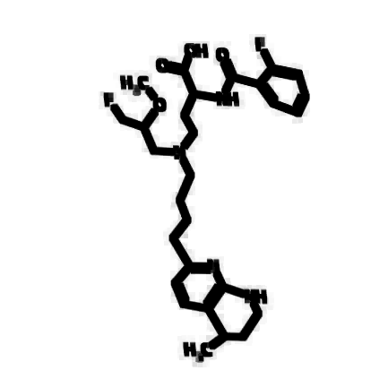 COC(CF)CN(CCCCc1ccc2c(n1)NCCC2C)CCC(NC(=O)c1ccccc1F)C(=O)O